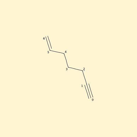 C#C[CH]CCC=C